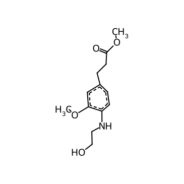 COC(=O)CCc1ccc(NCCO)c(OC)c1